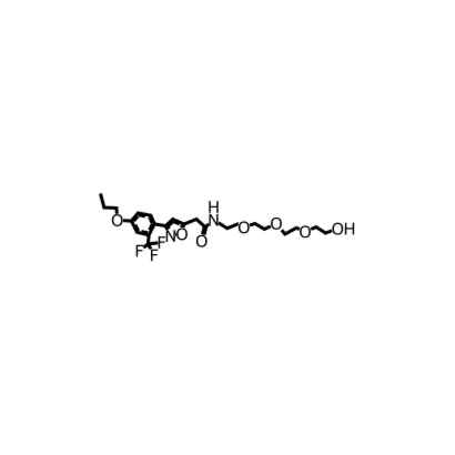 CCCOc1ccc(-c2cc(CC(=O)NCCOCCOCCOCCO)on2)c(C(F)(F)F)c1